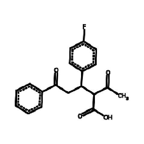 CC(=O)C(C(=O)O)C(CC(=O)c1ccccc1)c1ccc(F)cc1